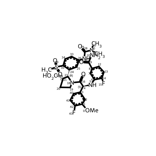 COc1cc([C@H](Nc2cc(C(N)=O)ccc2F)C(=O)N2CC[C@H](C(=O)O)[C@@H]2c2cc(NC(=O)N(C)C)ccc2S(C)(=O)=O)ccc1F